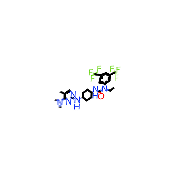 CCN(C(=O)N[C@H]1CC[C@@H](Nc2ncc(C)c(N(C)C)n2)CC1)c1cc(C(F)(F)F)cc(C(F)(F)F)c1